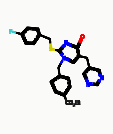 CCOC(=O)c1ccc(Cn2cc(Cc3cncnc3)c(=O)nc2SCc2ccc(F)cc2)cc1